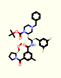 COC[C@H]1CCCN1C(=O)c1cc(C)cc(C(=O)N[C@@H](Cc2cc(F)cc(F)c2)C[C@H]2CN(Cc3ccccc3)CCN2C(=O)OC(C)(C)C)c1